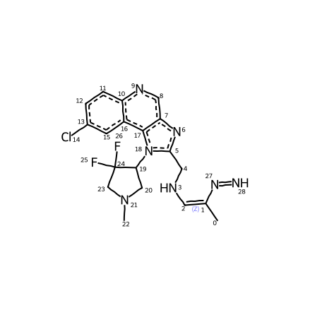 C/C(=C/NCc1nc2cnc3ccc(Cl)cc3c2n1C1CN(C)CC1(F)F)N=N